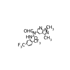 Cc1nn(C)c2ncc(N(C=O)C(=O)Nc3cc(C(F)(F)F)ccc3C(F)(F)F)cc12